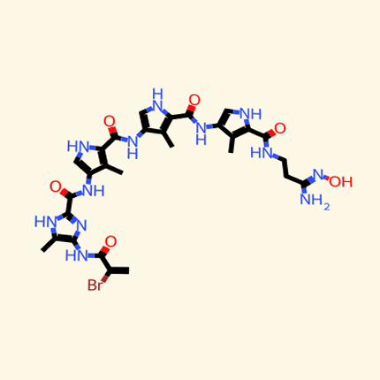 C=C(Br)C(=O)Nc1nc(C(=O)Nc2c[nH]c(C(=O)Nc3c[nH]c(C(=O)Nc4c[nH]c(C(=O)NCCC(N)=NO)c4C)c3C)c2C)[nH]c1C